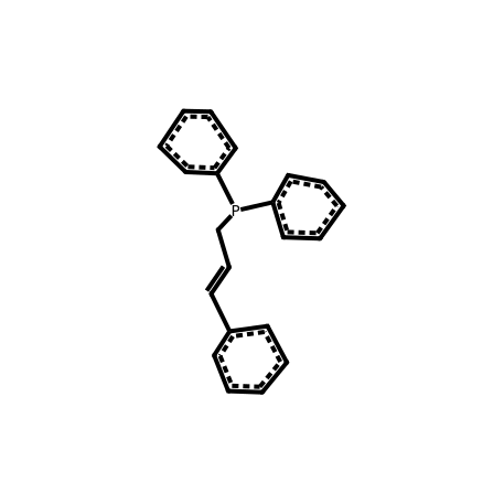 C(=Cc1ccccc1)CP(c1ccccc1)c1ccccc1